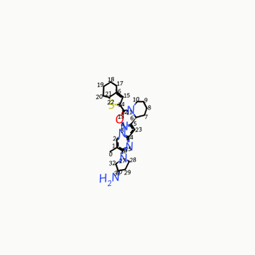 Cc1cn2nc([C@@H]3CCCCN3C(=O)C3C=C4CCCCC4S3)cc2nc1N1CC[C@H](N)C1